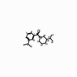 CC(C)c1cccc(C(=O)N2CCCC(C(C)C)C2)c1